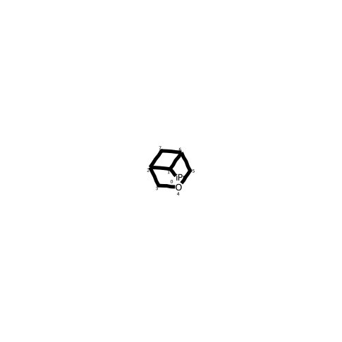 CC(C)C1C2COCC1C2